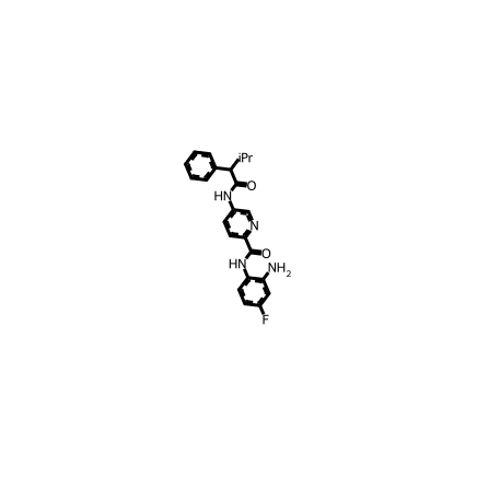 CC(C)C(C(=O)Nc1ccc(C(=O)Nc2ccc(F)cc2N)nc1)c1ccccc1